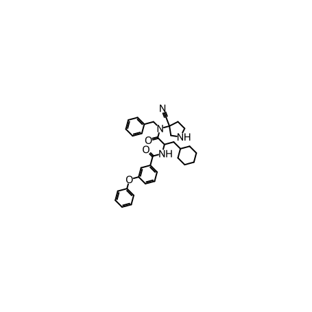 N#CC1(N(Cc2ccccc2)C(=O)C(CC2CCCCC2)NC(=O)c2cccc(Oc3ccccc3)c2)CCNC1